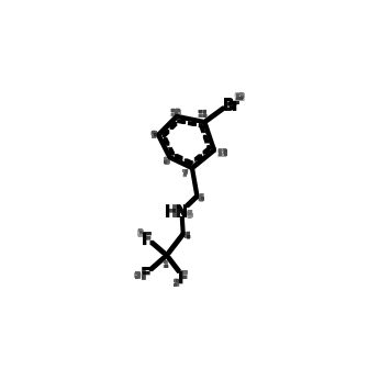 FC(F)(F)CNCc1cccc(Br)c1